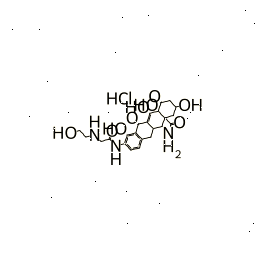 Cl.NC(=O)C12CC(O)CC(=O)C1(O)C(O)=C1C(=O)c3c(ccc(NC(=O)CNCCO)c3O)CC1C2